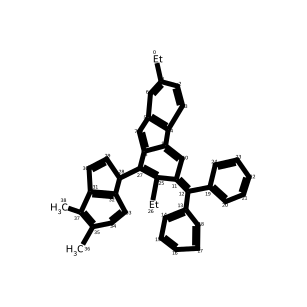 CCc1ccc2c(c1)[C]=c1c-2cc(=C(c2ccccc2)c2ccccc2)c(CC)c1C1C=Cc2c1ccc(C)c2C